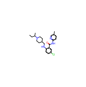 CCC(C)N1CCC(CNc2ccc(Cl)cc2C(=O)Nc2ccc(C)cn2)CC1